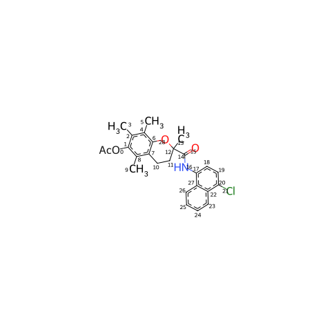 CC(=O)Oc1c(C)c(C)c2c(c1C)CCC(C)(C(=O)Nc1ccc(Cl)c3ccccc13)O2